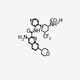 Nc1cc2ccc(C3CCOCC3)cc2nc1C(=O)Nc1cnccc1N1C[C@@H](NC(=O)O)C[C@@H](C(F)(F)F)C1